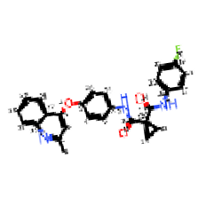 Cc1cc(Oc2ccc(NC(=O)C3(C(=O)Nc4ccc(F)cc4)CC3)cc2)c2ccccc2n1